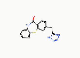 O=C1Nc2ccccc2Sc2cc(Cc3nnn[nH]3)ccc21